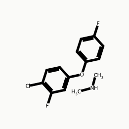 CNC.Fc1ccc(Oc2ccc(Cl)c(F)c2)cc1